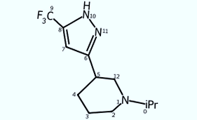 CC(C)N1CCCC(c2cc(C(F)(F)F)[nH]n2)C1